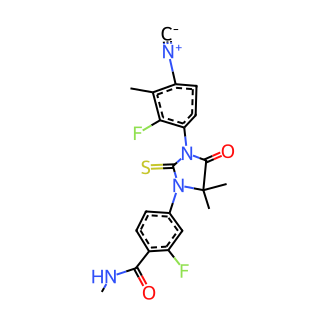 [C-]#[N+]c1ccc(N2C(=O)C(C)(C)N(c3ccc(C(=O)NC)c(F)c3)C2=S)c(F)c1C